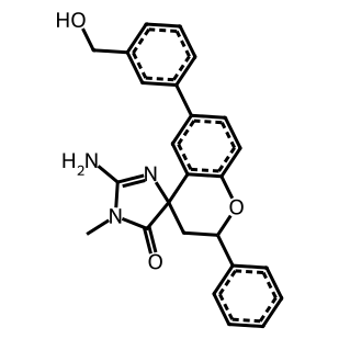 CN1C(=O)C2(CC(c3ccccc3)Oc3ccc(-c4cccc(CO)c4)cc32)N=C1N